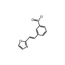 O=[N+]([O-])c1cccc(C=Cc2ncco2)c1